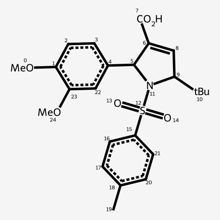 COc1ccc(C2C(C(=O)O)=CC(C(C)(C)C)N2S(=O)(=O)c2ccc(C)cc2)cc1OC